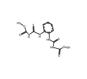 O=C(NC(=S)Nc1ccccc1NC(=S)NC(=O)OS)OS